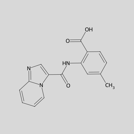 Cc1ccc(C(=O)O)c(NC(=O)c2cnc3ccccn23)c1